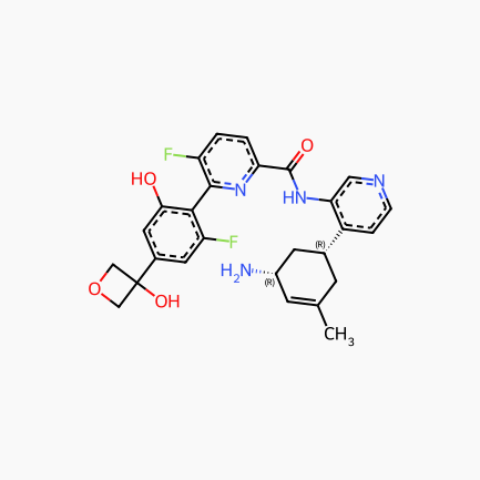 CC1=C[C@H](N)C[C@H](c2ccncc2NC(=O)c2ccc(F)c(-c3c(O)cc(C4(O)COC4)cc3F)n2)C1